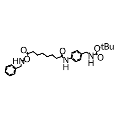 CC(C)(C)OC(=O)NCc1ccc(NC(=O)CCCCCCC(=O)ONCc2ccccc2)cc1